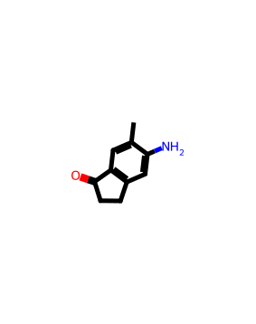 Cc1cc2c(cc1N)CCC2=O